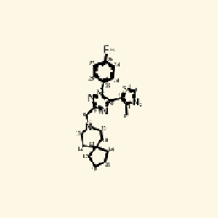 Cc1ncsc1-c1nc(CN2CCC3(CCCC3)CC2)nn1-c1ccc(F)cc1